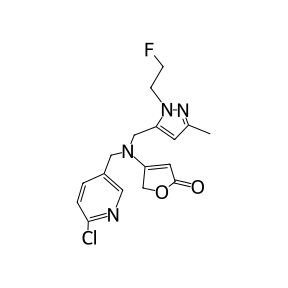 Cc1cc(CN(Cc2ccc(Cl)nc2)C2=CC(=O)OC2)n(CCF)n1